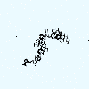 CC(C)(C)CC(CNc1cccc(S(=O)(=O)NC(=O)c2ccc(-n3ccc(OCCC4CCC45CC5)n3)nc2Cl)n1)C[C@@H]1CNC(C)(C)C1